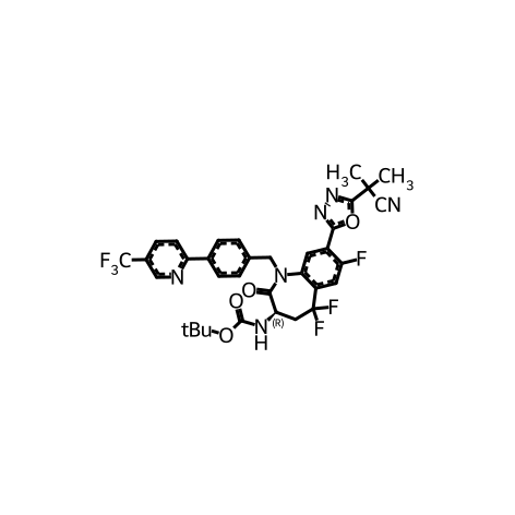 CC(C)(C)OC(=O)N[C@@H]1CC(F)(F)c2cc(F)c(-c3nnc(C(C)(C)C#N)o3)cc2N(Cc2ccc(-c3ccc(C(F)(F)F)cn3)cc2)C1=O